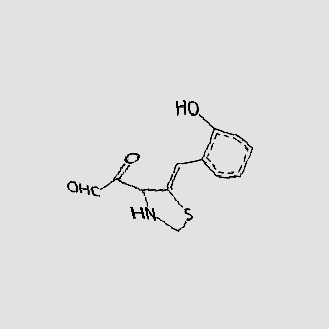 O=CC(=O)C1NCSC1=Cc1ccccc1O